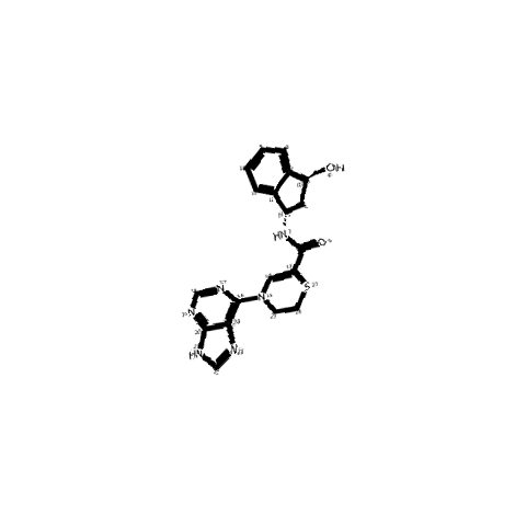 O=C(N[C@H]1C[C@H](O)c2ccccc21)C1=CN(c2ncnc3[nH]cnc23)CCS1